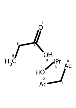 CC(=O)CC(C)=O.CC(C)O.CCC(=O)O